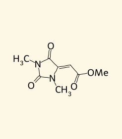 COC(=O)/C=C1/C(=O)N(C)C(=O)N1C